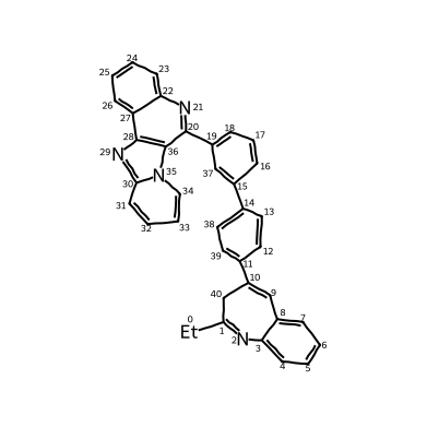 CCC1=Nc2ccccc2C=C(c2ccc(-c3cccc(-c4nc5ccccc5c5nc6ccccn6c45)c3)cc2)C1